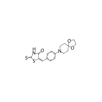 O=C1NC(=S)SC1=Cc1ccc(N2CCC3(CC2)OCCO3)cc1